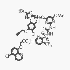 C#CCOc1cc(-n2nc(C(C)(C)C)oc2=O)c(Cl)cc1Cl.COc1cc(OC)nc(NC(=O)NS(=O)(=O)c2ncccc2C(F)(F)F)n1.O=C(O)COc1ccc(Cl)c2cccnc12